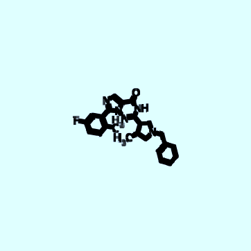 Cc1ccc(F)cc1-c1ncc2c(=O)[nH]c(C3CN(Cc4ccccc4)CC3C)nn12